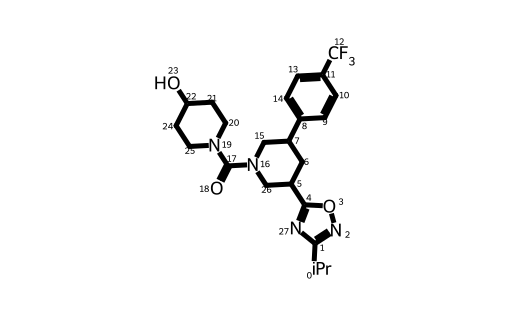 CC(C)c1noc(C2CC(c3ccc(C(F)(F)F)cc3)CN(C(=O)N3CCC(O)CC3)C2)n1